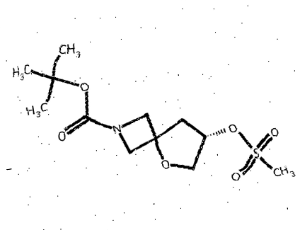 CC(C)(C)OC(=O)N1CC2(C[C@H](OS(C)(=O)=O)CO2)C1